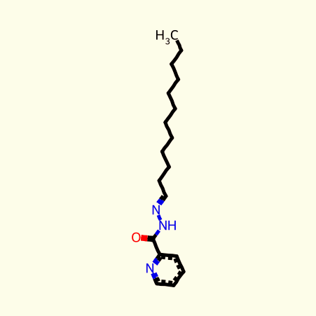 CCCCCCCCCCCC=NNC(=O)c1ccccn1